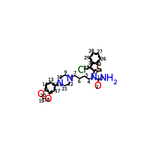 NC(=O)N(CCCCN1CCN(c2ccc3c(c2)OCO3)CC1)c1sc2ccccc2c1Cl